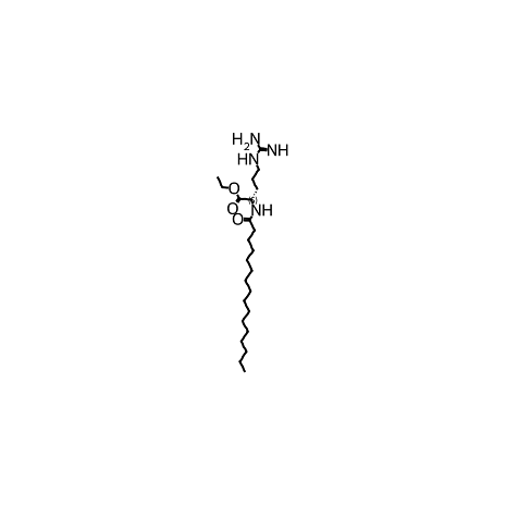 CCCCCCCCCCCCCCCC(=O)N[C@@H](CCCNC(=N)N)C(=O)OCC